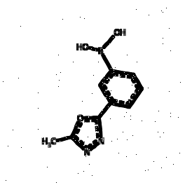 Cc1nnc(-c2cccc(B(O)O)c2)o1